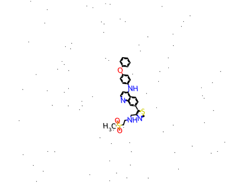 CS(=O)(=O)CCNCc1ncsc1-c1ccc2c(Nc3ccc(Oc4ccccc4)cc3)ccnc2c1